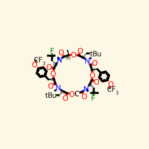 C[C@H]1OC(=O)[C@H](CC(C)(C)C)N(C)C(=O)[C@@H](Cc2ccc(OC(F)(F)F)cc2)OC(=O)[C@H](CC(C)(C)F)N(C)C(=O)COC(=O)[C@H](CC(C)(C)C)N(C)C(=O)[C@@H](Cc2ccc(OC(F)(F)F)cc2)OC(=O)[C@H](CC(C)(C)F)N(C)C1=O